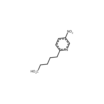 O=C(O)CCCCc1ccc([N+](=O)[O-])cn1